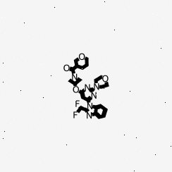 O=C(C1CCCOC1)N1CC(Oc2cc(-n3c(C(F)F)nc4ccccc43)nc(N3CCOCC3)n2)C1